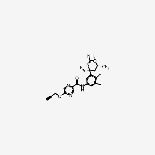 C#CCOc1cnc(C(=O)Nc2cc(C)c(F)c([C@]3(CF)C[C@@H](C(F)(F)F)OC(N)=N3)c2)cn1